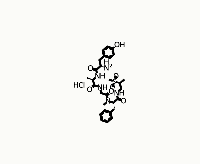 CC(CNC(=O)[C@H](Cc1ccccc1)N(C)C(=O)CNC(=O)[C@@H](C)NC(=O)[C@@H](N)Cc1ccc(O)cc1)S(C)(=O)=O.Cl